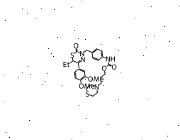 CCC1SC(=O)N(Cc2ccc(NC(=O)OCCCN3CCSCC3)cc2)N=C1c1ccc(OC)c(OC)c1